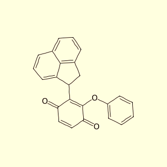 O=C1C=CC(=O)C(C2Cc3cccc4cccc2c34)=C1Oc1ccccc1